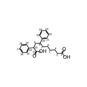 O=C(O)CCCCCC(CC(C(=O)O)c1ccccc1)c1ccccc1